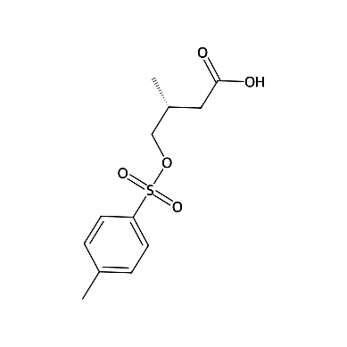 Cc1ccc(S(=O)(=O)OC[C@H](C)CC(=O)O)cc1